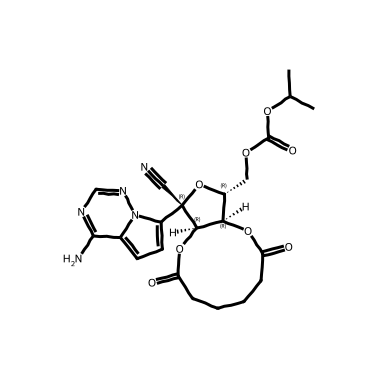 CC(C)OC(=O)OC[C@H]1O[C@@](C#N)(c2ccc3c(N)ncnn23)[C@@H]2OC(=O)CCCCC(=O)O[C@@H]21